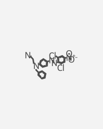 N#CCCN(Cc1ccccc1)c1ccc(N=Nc2c(Cl)cc([N+](=O)[O-])cc2Cl)cc1